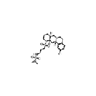 CN(C)S(=O)(=O)NCCCS(=O)(=O)N1CCC[C@@H]2CN3CCc4ccc(Cl)cc4[C@@H]3C[C@@H]21